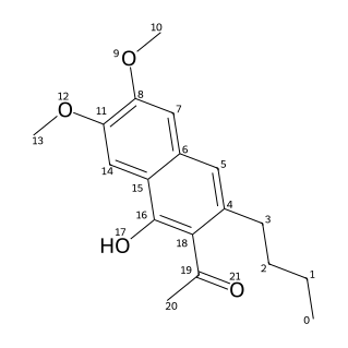 CCCCc1cc2cc(OC)c(OC)cc2c(O)c1C(C)=O